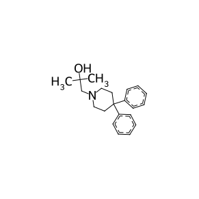 CC(C)(O)CN1CCC(c2ccccc2)(c2ccccc2)CC1